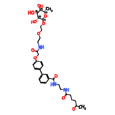 CC(=O)CCCC(=O)NCCNC(=O)c1cccc(-c2ccc(OCC(=O)NCCOCCO[C@@H]3O[C@@H](C)[C@H](O)[C@@H](O)[C@H]3O)cc2)c1